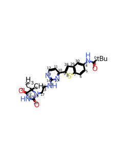 CC(C)(C)C(=O)Nc1ccc2sc(-c3ccnc(NCCN4C(=O)NC(=O)C4(C)C)n3)cc2c1